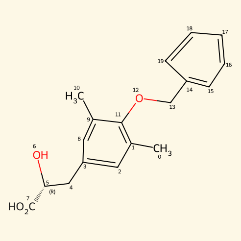 Cc1cc(C[C@@H](O)C(=O)O)cc(C)c1OCc1ccccc1